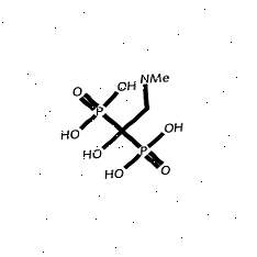 CNCC(O)(P(=O)(O)O)P(=O)(O)O